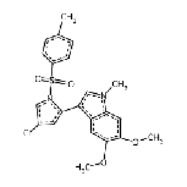 COc1cc2c(-c3cc(Cl)cn3S(=O)(=O)c3ccc(C)cc3)cn(C)c2cc1OC